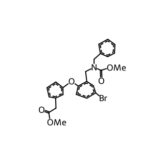 COC(=O)Cc1cccc(Oc2ccc(Br)cc2CN(Cc2ccccc2)C(=O)OC)c1